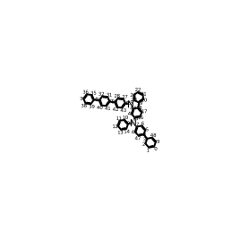 C1=CCC(c2ccc(N(c3ccccc3)c3ccc4c5ccccc5n(-c5ccc(-c6ccc(-c7ccccc7)cc6)cc5)c4c3)cc2)C=C1